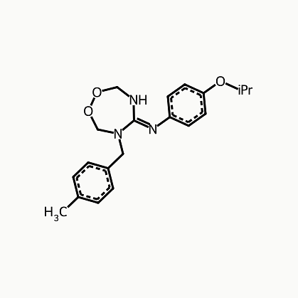 Cc1ccc(CN2COOCN/C2=N\c2ccc(OC(C)C)cc2)cc1